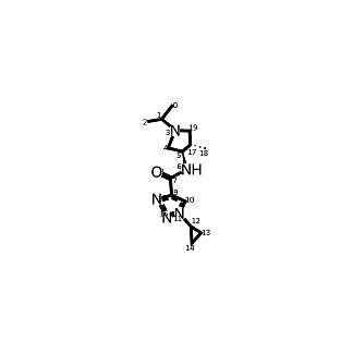 CC(C)N1C[C@H](NC(=O)c2cn(C3CC3)nn2)[C@@H](C)C1